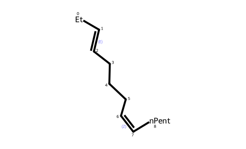 [CH2]C/C=C/CCC/C=C\CCCCC